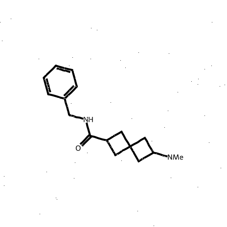 CNC1CC2(C1)CC(C(=O)NCc1ccccc1)C2